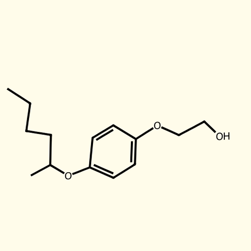 CCCCC(C)Oc1ccc(OCCO)cc1